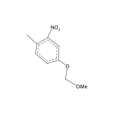 COCOc1ccc(C)c([N+](=O)[O-])c1